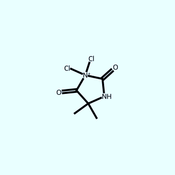 CC1(C)NC(=O)[N+](Cl)(Cl)C1=O